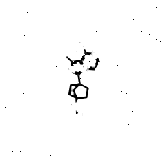 Nc1nccn2c(C34CCC(NC(=O)O)(CC3)C4)nc(I)c12